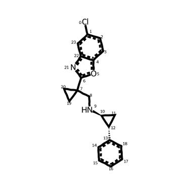 Clc1ccc2oc(C3(CN[C@H]4C[C@@H]4c4ccccc4)CC3)nc2c1